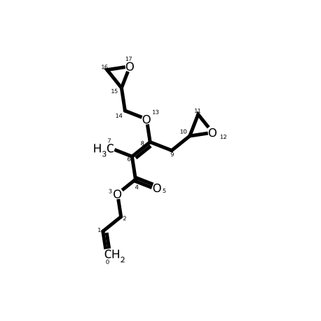 C=CCOC(=O)C(C)=C(CC1CO1)OCC1CO1